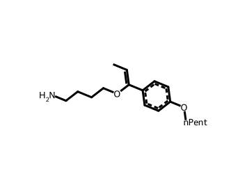 CC=C(OCCCCN)c1ccc(OCCCCC)cc1